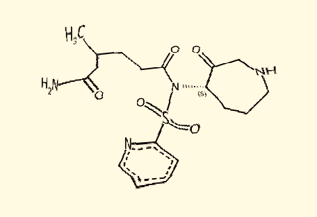 C[C](CCC(=O)N([C@H]1CCCNCC1=O)S(=O)(=O)c1ccccn1)C(N)=O